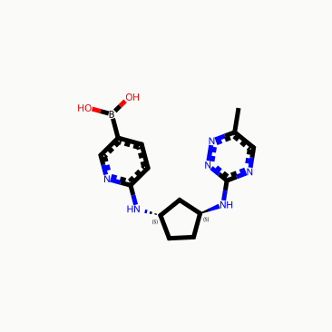 Cc1cnc(N[C@H]2CC[C@H](Nc3ccc(B(O)O)cn3)C2)nn1